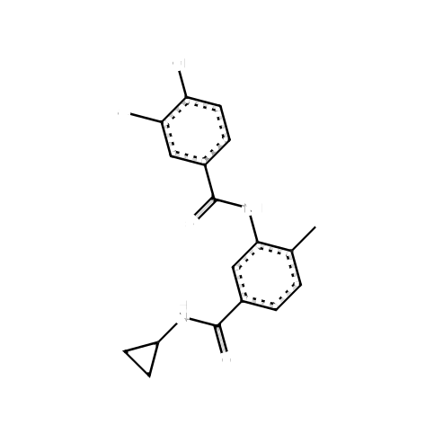 Cc1ccc(C(=O)NC2CC2)cc1NC(=O)c1ccc(O)c(Cl)c1